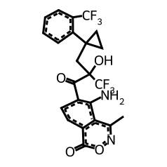 Cc1noc(=O)c2ccc(C(=O)C(O)(CC3(c4ccccc4C(F)(F)F)CC3)C(F)(F)F)c(N)c12